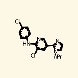 CCCn1ccnc1-c1cnc(Nc2ccc(Cl)cc2)c(Cl)c1